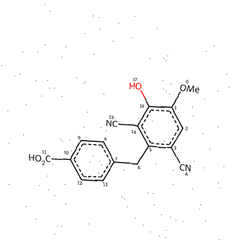 COc1cc(C#N)c(Cc2ccc(C(=O)O)cc2)c(C#N)c1O